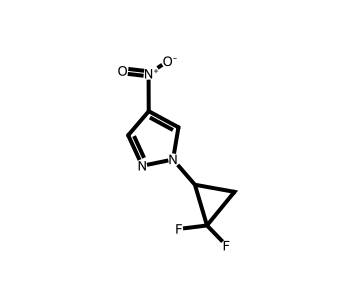 O=[N+]([O-])c1cnn(C2CC2(F)F)c1